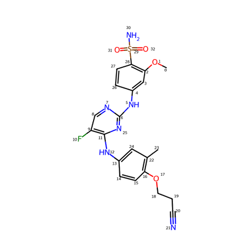 COc1cc(Nc2ncc(F)c(Nc3ccc(OCCC#N)c(C)c3)n2)ccc1S(N)(=O)=O